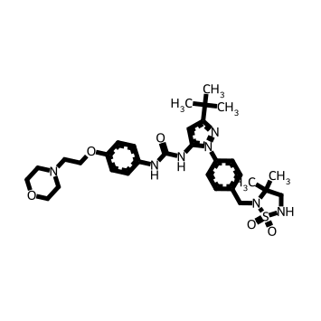 CC(C)(C)c1cc(NC(=O)Nc2ccc(OCCN3CCOCC3)cc2)n(-c2ccc(CN3C(C)(C)CNS3(=O)=O)cc2)n1